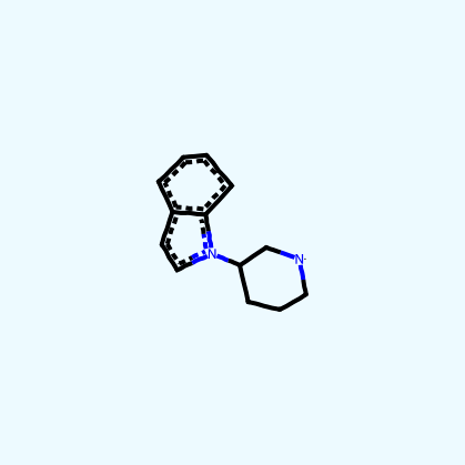 c1ccc2c(c1)ccn2C1CCC[N]C1